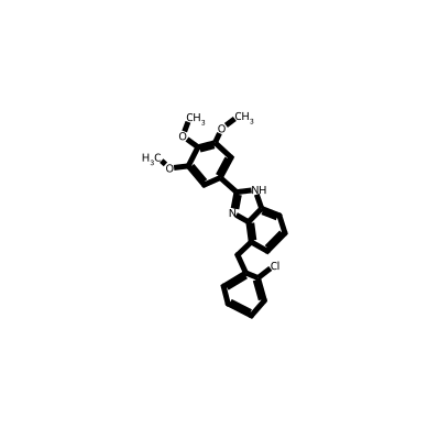 COc1cc(-c2nc3c(Cc4ccccc4Cl)cccc3[nH]2)cc(OC)c1OC